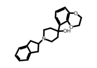 OC1(c2cccc3c2OCCO3)CCN(C2Cc3ccccc3C2)CC1